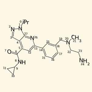 CC(C)n1ncc2c(C(=O)NC3CC3)cc(-c3cccc(CN(C)CCN)c3)nc21